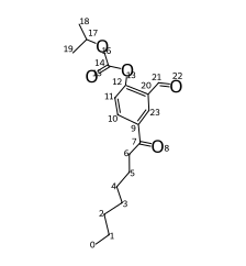 CCCCCCCC(=O)c1ccc(OC(=O)OC(C)C)c(C=O)c1